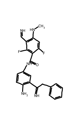 CNc1cc(F)c(C(=O)Nc2ccc(N)c(C(=N)Cc3ccccc3)c2)c(F)c1C=N